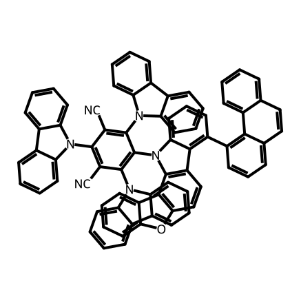 N#Cc1c(-n2c3ccccc3c3ccccc32)c(C#N)c(-n2c3ccccc3c3ccccc32)c(-n2c3cccc(-c4cccc5ccc6ccccc6c45)c3c3ccc4oc5ccccc5c4c32)c1-n1c2ccccc2c2ccccc21